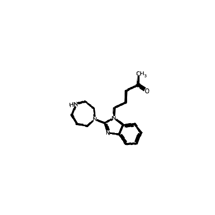 CC(=O)CCCn1c(N2CCCNCC2)nc2ccccc21